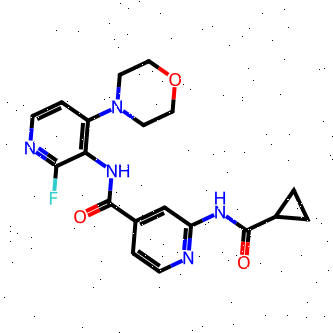 O=C(Nc1c(N2CCOCC2)ccnc1F)c1ccnc(NC(=O)C2CC2)c1